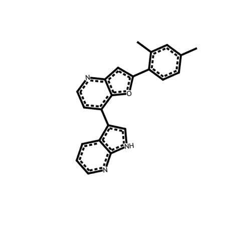 Cc1ccc(-c2cc3nccc(-c4c[nH]c5ncccc45)c3o2)c(C)c1